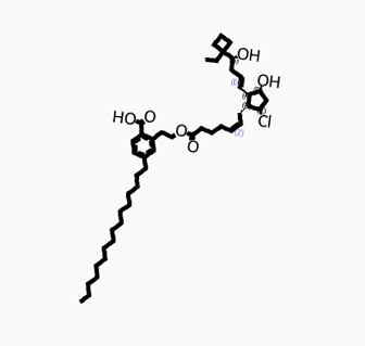 CCCCCCCCCCCCCCCCc1ccc(C(=O)O)c(CCOC(=O)CCC/C=C\C[C@@H]2[C@@H](/C=C/C[C@H](O)C3(CC)CCC3)[C@H](O)C[C@H]2Cl)c1